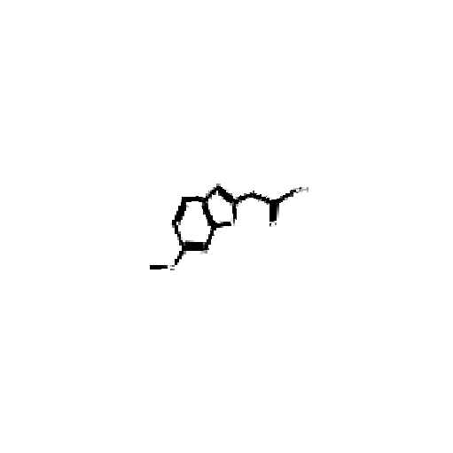 COc1ccc2cc(CC(=O)O)sc2c1